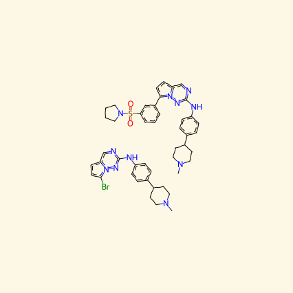 CN1CCC(c2ccc(Nc3ncc4ccc(-c5cccc(S(=O)(=O)N6CCCC6)c5)n4n3)cc2)CC1.CN1CCC(c2ccc(Nc3ncc4ccc(Br)n4n3)cc2)CC1